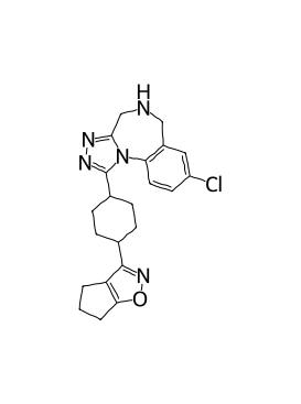 Clc1ccc2c(c1)CNCc1nnc(C3CCC(c4noc5c4CCC5)CC3)n1-2